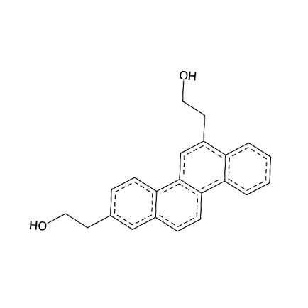 OCCc1ccc2c(ccc3c4ccccc4c(CCO)cc23)c1